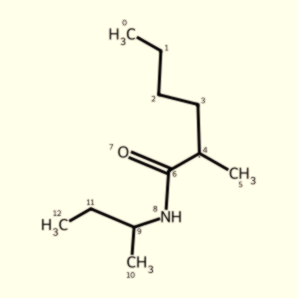 CCCC[C](C)C(=O)NC(C)CC